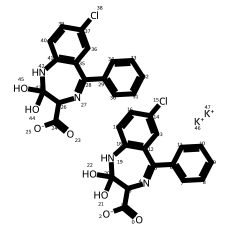 O=C([O-])C1N=C(c2ccccc2)c2cc(Cl)ccc2NC1(O)O.O=C([O-])C1N=C(c2ccccc2)c2cc(Cl)ccc2NC1(O)O.[K+].[K+]